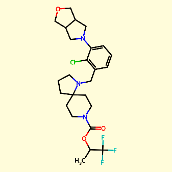 CC(OC(=O)N1CCC2(CCCN2Cc2cccc(N3CC4COCC4C3)c2Cl)CC1)C(F)(F)F